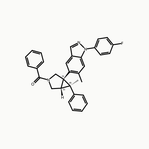 Cc1cc2c(cnn2-c2ccc(F)cc2)cc1[C@]12CN(C(=O)c3ccccc3)C[C@H]1[C@]2(C)c1ccccc1